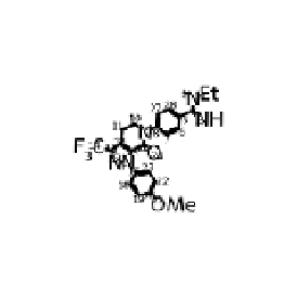 CCN(C)C(=N)c1ccc(N2CCc3c(C(F)(F)F)nn(-c4ccc(OC)cc4)c3C2=O)cc1